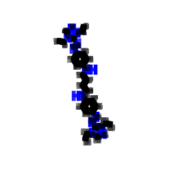 CCn1nc[n+](CC)c1N=Nc1ccc(NCCCCNc2ccc(N=Nc3n(CC)nc[n+]3CC)cc2)cc1